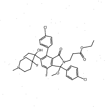 CCOC(=O)CCN1C(=O)c2c(-c3ccc(Cl)cc3)c(C(O)(CC)C3(F)CCN(C)CC3)cc(F)c2C1(OC)c1ccc(Cl)cc1